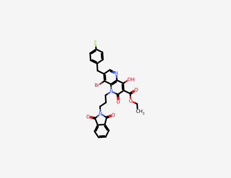 CCOC(=O)c1c(O)c2ncc(Cc3ccc(F)cc3)c(Br)c2n(CCCN2C(=O)c3ccccc3C2=O)c1=O